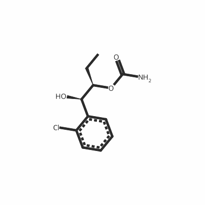 CC[C@@H](OC(N)=O)[C@H](O)c1ccccc1Cl